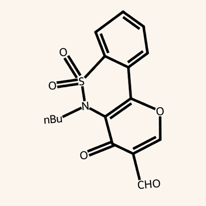 CCCCN1c2c(occ(C=O)c2=O)-c2ccccc2S1(=O)=O